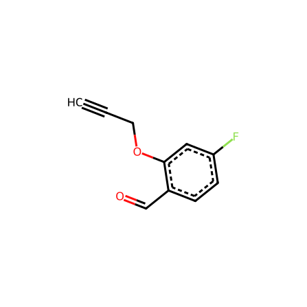 C#CCOc1cc(F)ccc1C=O